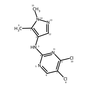 Cc1c(Nc2ncc(Cl)c(Cl)n2)cnn1C